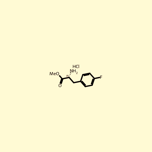 COC(=O)[C@H](N)Cc1ccc(F)cc1.Cl